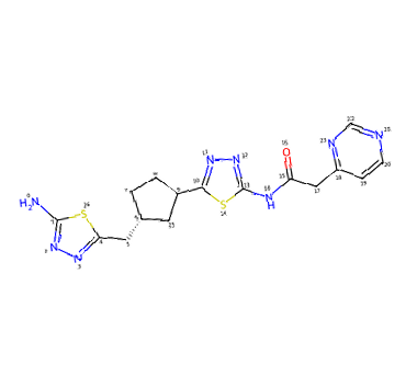 Nc1nnc(C[C@@H]2CCC(c3nnc(NC(=O)Cc4ccncn4)s3)C2)s1